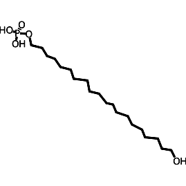 O=P(O)(O)OCCCCCCCCCCCCCCCCCCCCO